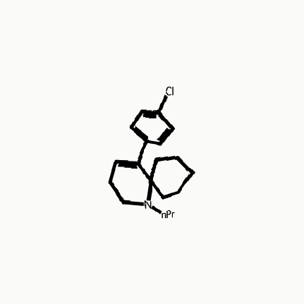 CCCN1CCC=C(c2ccc(Cl)cc2)C12CCCCC2